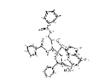 C=CC[C@@]1(OC(=O)c2ccccc2)C(OC(=O)c2ccccc2)C(COC(=O)c2ccccc2)OC1n1cnc2c(Cl)nc(N)nc21